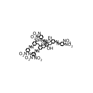 CCc1cc(N=Nc2ccc([N+](=O)[O-])c([N+](=O)[O-])c2)cc(Cc2cc(N=Nc3ccc([N+](=O)[O-])c([N+](=O)[O-])c3)cc(Cc3cc(N=Nc4ccc([N+](=O)[O-])c([N+](=O)[O-])c4)cc(Cc4cc(N=Nc5ccc([N+](=O)[O-])c([N+](=O)[O-])c5)ccc4O)c3O)c2O)c1O